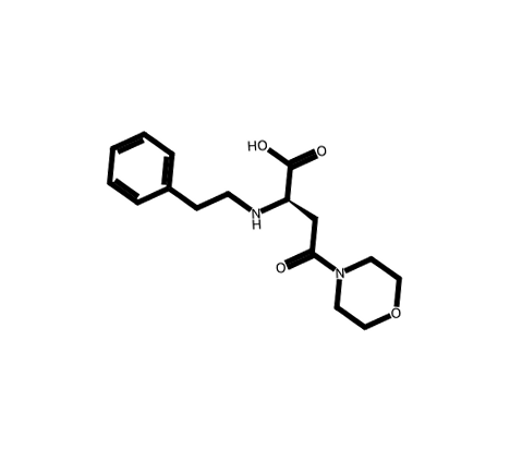 O=C(O)[C@@H](CC(=O)N1CCOCC1)NCCc1ccccc1